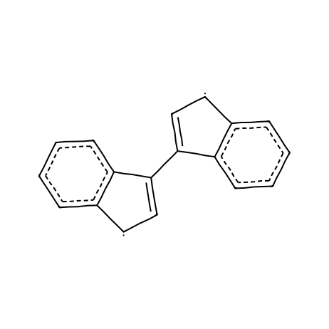 [CH]1C=C(C2=C[CH]c3ccccc32)c2ccccc21